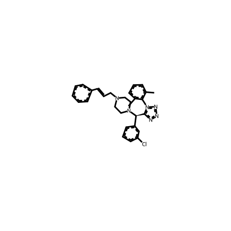 Cc1cccc(C)c1-n1nnnc1[C@@H](c1cccc(Cl)c1)N1CCN(C/C=C/c2ccccc2)CC1